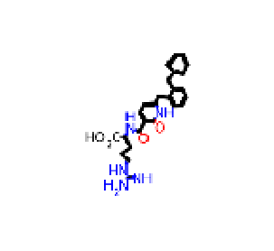 N=C(N)NCCC[C@H](NC(=O)c1ccc(Cc2ccccc2Cc2ccccc2)[nH]c1=O)C(=O)O